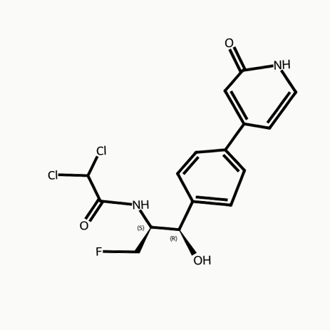 O=C(N[C@H](CF)[C@H](O)c1ccc(-c2cc[nH]c(=O)c2)cc1)C(Cl)Cl